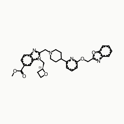 COC(=O)c1ccc2nc(CN3CCC(c4cccc(OCc5nc6ccccc6o5)n4)CC3)n(C[C@@H]3CCO3)c2c1